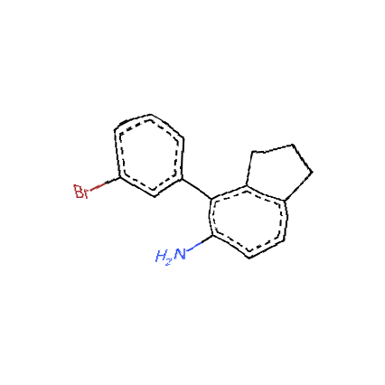 Nc1ccc2c(c1-c1cccc(Br)c1)CCC2